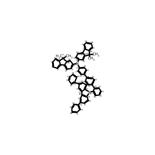 CC1(C)c2ccccc2-c2ccc(N(c3ccc(-c4ccc(-c5ccccc5-n5c6ccc(-c7ccccc7)cc6c6cc(-c7ccccc7)ccc65)cc4)cc3)c3ccc4c(c3)C(C)(C)c3ccccc3-4)cc21